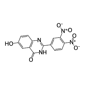 O=c1[nH]c(-c2ccc([N+](=O)[O-])c([N+](=O)[O-])c2)nc2ccc(O)cc12